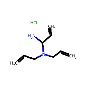 C=CCN(CC=C)C(N)C=C.Cl